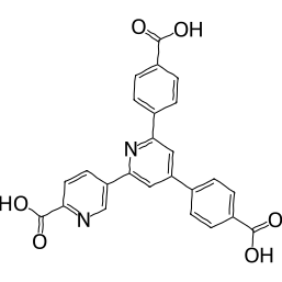 O=C(O)c1ccc(-c2cc(-c3ccc(C(=O)O)cc3)nc(-c3ccc(C(=O)O)nc3)c2)cc1